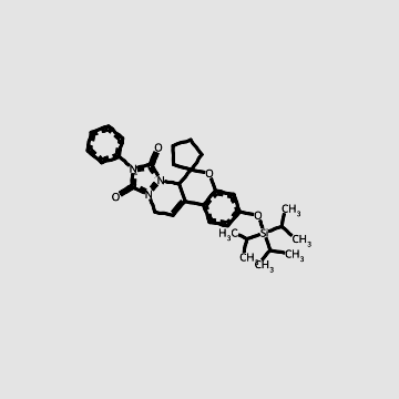 CC(C)[Si](Oc1ccc2c(c1)OC1(CCCC1)C1C2=CCn2c(=O)n(-c3ccccc3)c(=O)n21)(C(C)C)C(C)C